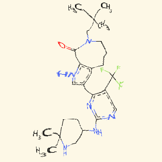 CC(C)(C)CN1CCCc2c(-c3nc(NC4CCC(C)(C)NC4)ncc3C(F)(F)F)c[nH]c2C1=O